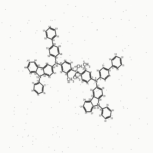 Cc1cc(N(c2ccc(-c3ccccc3)cc2)c2ccc3c(c2)c2ccccc2n3-c2ccccc2)ccc1[Si](C)(C)c1ccc(N(c2ccc(-c3ccccc3)cc2)c2ccc3c(c2)c2ccccc2n3-c2ccccc2)cc1C